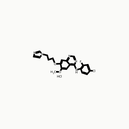 COc1cc2c(Nc3ccc(Cl)cc3F)ncnc2cc1OCCCn1ccnc1.Cl